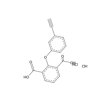 C#Cc1cccc(Oc2c(C(=O)O)cccc2C(=O)O)c1.Cl.Cl